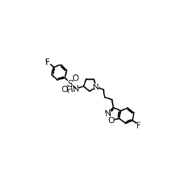 O=S(=O)(NC1CCN(CCCc2noc3cc(F)ccc23)C1)c1ccc(F)cc1